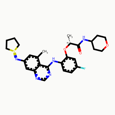 Cc1cc(N=S2CCCC2)cc2ncnc(Nc3ccc(F)cc3O[C@H](C)C(=O)NC3CCOCC3)c12